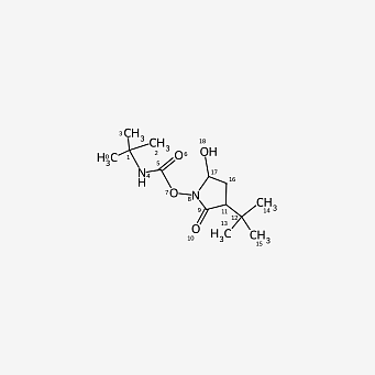 CC(C)(C)NC(=O)ON1C(=O)C(C(C)(C)C)CC1O